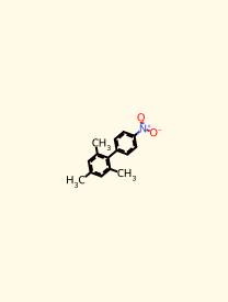 Cc1cc(C)c(-c2ccc([N+](=O)[O-])cc2)c(C)c1